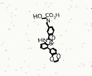 O=C(O)[C@H](CO)N=Cc1ccc2onc(Nc3cccc(-c4ccc5c(c4)OCCO5)c3Br)c2c1